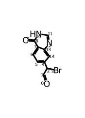 O=CC(Br)c1ccc2c(=O)[nH]cnc2c1